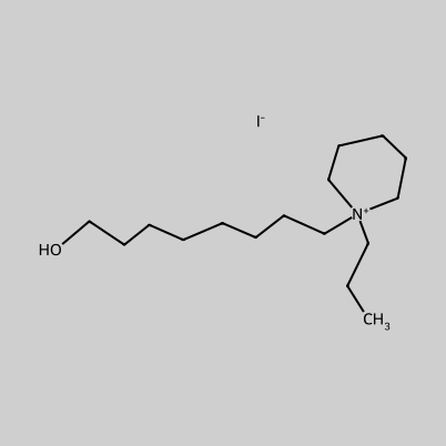 CCC[N+]1(CCCCCCCCO)CCCCC1.[I-]